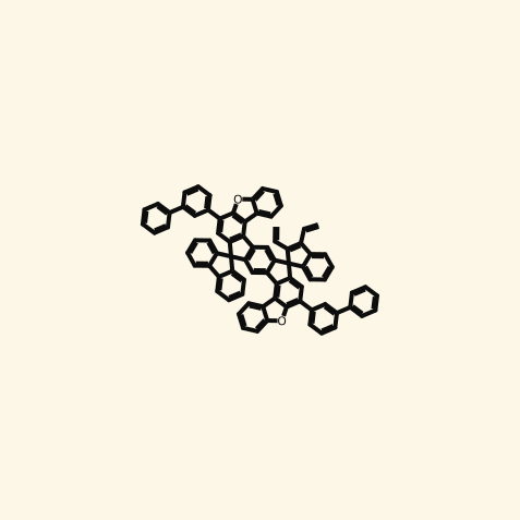 C=CC1=C(C=C)C2(c3ccccc31)c1cc3c(cc1-c1c2cc(-c2cccc(-c4ccccc4)c2)c2oc4ccccc4c12)C1(c2ccccc2-c2ccccc21)c1cc(-c2cccc(-c4ccccc4)c2)c2oc4ccccc4c2c1-3